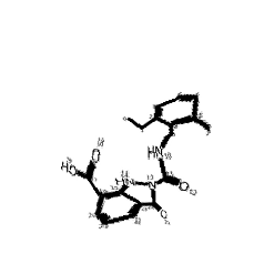 CCc1cccc(C)c1CNC(=O)n1[nH]c2c(C(=O)O)cccc2c1=O